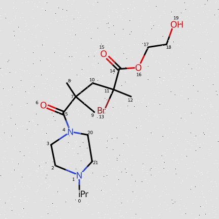 CC(C)N1CCN(C(=O)C(C)(C)CC(C)(Br)C(=O)OCCO)CC1